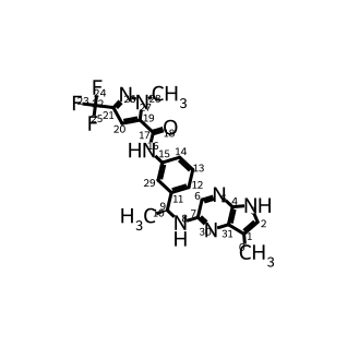 Cc1c[nH]c2ncc(N[C@@H](C)c3cccc(NC(=O)c4cc(C(F)(F)F)nn4C)c3)nc12